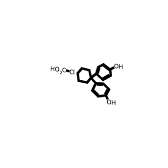 O=C(O)Cl.Oc1ccc(C2(c3ccc(O)cc3)CCCCC2)cc1